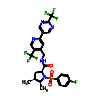 C[C@@H]1C[C@@H](C(=O)NCc2cc(-c3cnc(C(F)(F)F)nc3)ncc2C(F)(F)F)N(S(=O)(=O)c2ccc(F)cc2)[C@H]1C